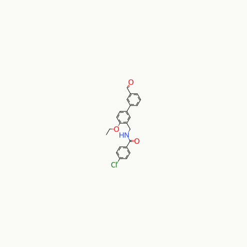 CCOc1ccc(-c2cccc(C=O)c2)cc1CNC(=O)c1ccc(Cl)cc1